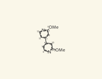 COc1cc(-c2ccnc(OC)c2)ccn1